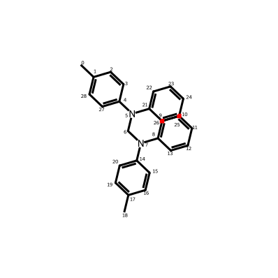 Cc1ccc(N(CN(c2ccccc2)c2ccc(C)cc2)c2ccccc2)cc1